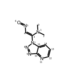 CN(C)C(=CN=O)n1nnc2ncccc21